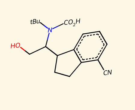 CC(C)(C)N(C(=O)O)C(CO)C1CCc2c(C#N)cccc21